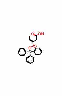 CC=C(CC(=O)O)C(=O)O[Si](c1ccccc1)(c1ccccc1)c1ccccc1